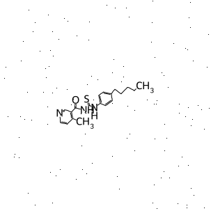 CCCCCc1ccc(NC(=S)NC(=O)c2cnccc2C)cc1